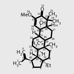 C=C(C)[C@@H]1CC[C@]2(CC)CC[C@]3(C)[C@H](CC[C@@H]4[C@@]5(C)C=C(OC)C(=O)C(C)(C)[C@@H]5CC[C@]43C)[C@@H]12